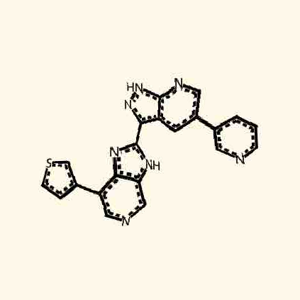 c1cncc(-c2cnc3[nH]nc(-c4nc5c(-c6ccsc6)cncc5[nH]4)c3c2)c1